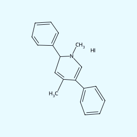 CC1=CC(c2ccccc2)N(C)C=C1c1ccccc1.I